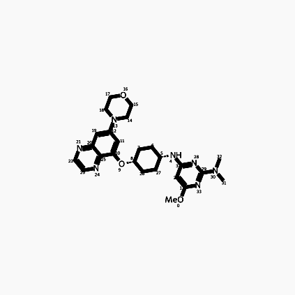 COc1cc(N[C@H]2CC[C@@H](Oc3cc(N4CCOCC4)cc4nccnc34)CC2)nc(N(C)C)n1